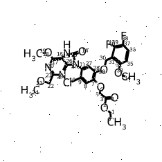 CCOC(=O)COc1cc(Cl)c(-n2c(=O)[nH]c3c(OC)nc(COC)nc32)cc1OCc1c(OC)ccc(F)c1F